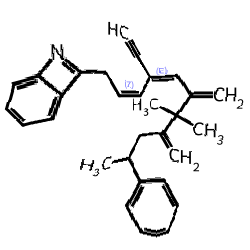 C#CC(/C=C\CC1=Nc2ccccc21)=C/C(=C)C(C)(C)C(=C)CC(C)c1ccccc1